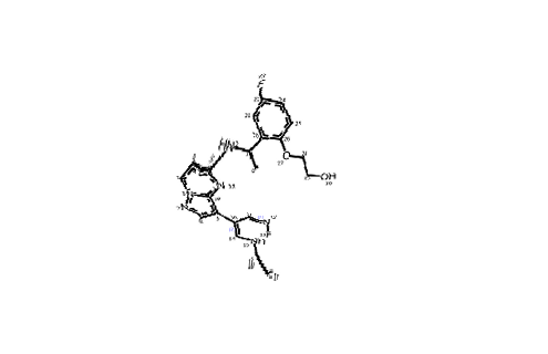 CC(Nc1ccn2ncc(C(/C=N\F)=C/NCF)c2n1)c1cc(F)ccc1OCCO